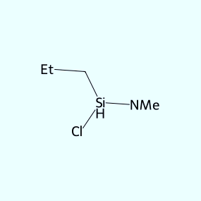 CCC[SiH](Cl)NC